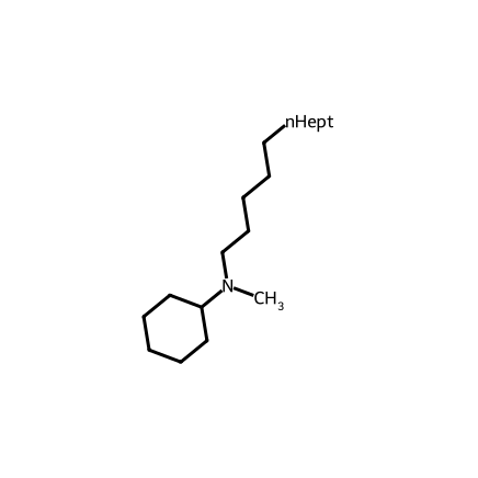 CCCCCCCCCCCCN(C)C1CCCCC1